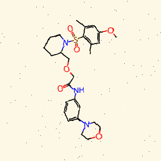 COc1cc(C)c(S(=O)(=O)N2CCCCC2COCC(=O)Nc2cccc(N3CCOCC3)c2)c(C)c1